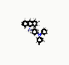 Cc1ccc(N(c2ccccc2)c2ccc(N(C)c3c4ccccc4cc4ccccc34)cc2)cc1